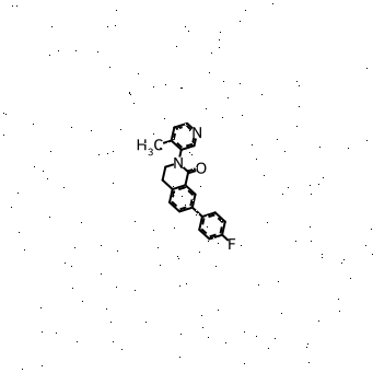 Cc1ccncc1N1CCc2ccc(-c3ccc(F)cc3)cc2C1=O